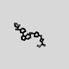 C=CC(=O)Nc1cccc(-c2cccc3cnc(Nc4ccc(OC5CN(C(C)=O)C5)cc4)nc23)c1